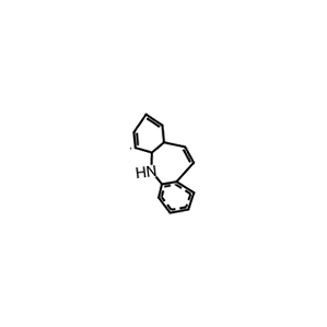 [C]1=CC=CC2C=Cc3ccccc3NC12